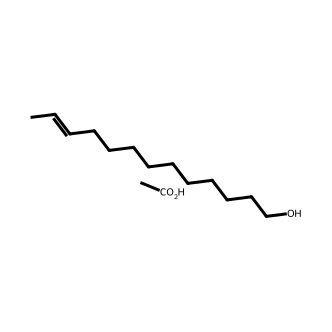 CC(=O)O.CC=CCCCCCCCCCCO